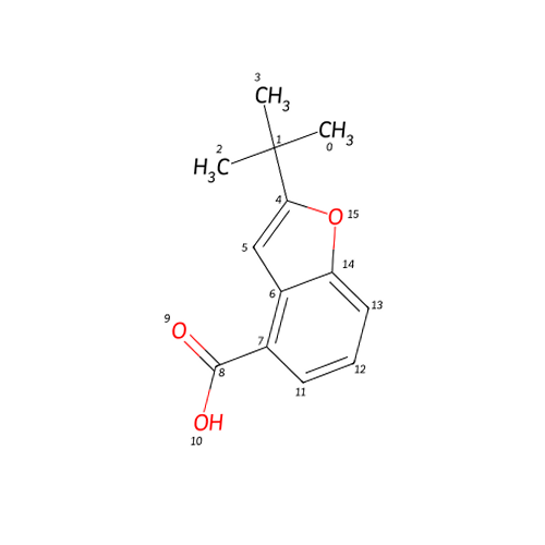 CC(C)(C)c1cc2c(C(=O)O)cccc2o1